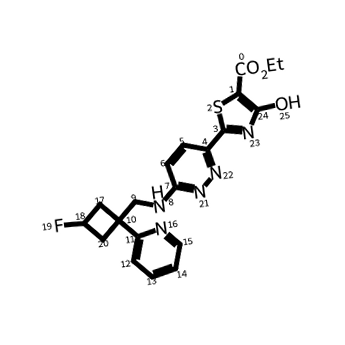 CCOC(=O)c1sc(-c2ccc(NCC3(c4ccccn4)CC(F)C3)nn2)nc1O